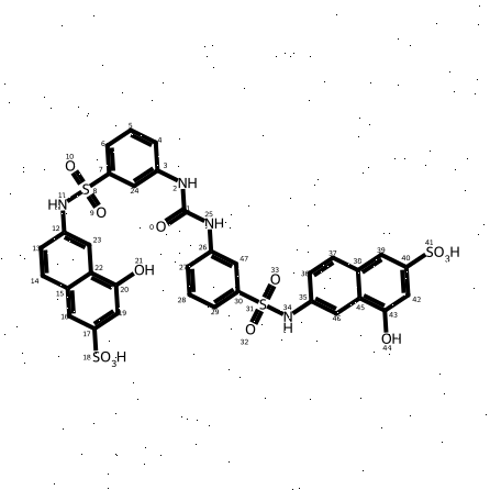 O=C(Nc1cccc(S(=O)(=O)Nc2ccc3cc(S(=O)(=O)O)cc(O)c3c2)c1)Nc1cccc(S(=O)(=O)Nc2ccc3cc(S(=O)(=O)O)cc(O)c3c2)c1